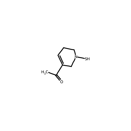 CC(=O)C1=CCCN(S)C1